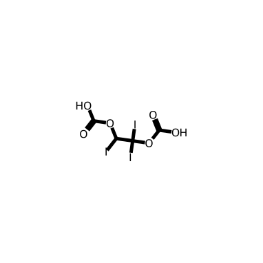 O=C(O)OC(I)C(I)(I)OC(=O)O